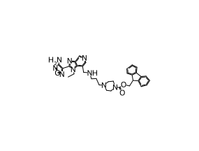 CCn1c(-c2nonc2N)nc2cncc(CNCCCN3CCN(C(=O)OCC4c5ccccc5-c5ccccc54)CC3)c21